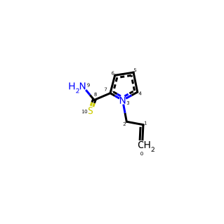 C=CCn1cccc1C(N)=S